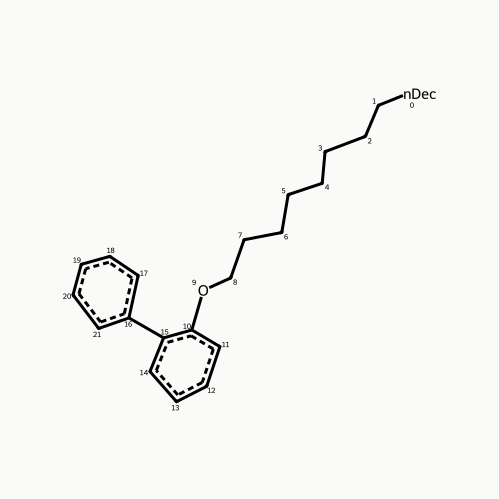 CCCCCCCCCCCCCCCCCCOc1ccccc1-c1ccccc1